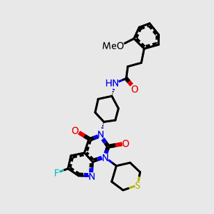 COc1ccccc1CCC(=O)N[C@H]1CC[C@@H](n2c(=O)c3cc(F)cnc3n(C3CCSCC3)c2=O)CC1